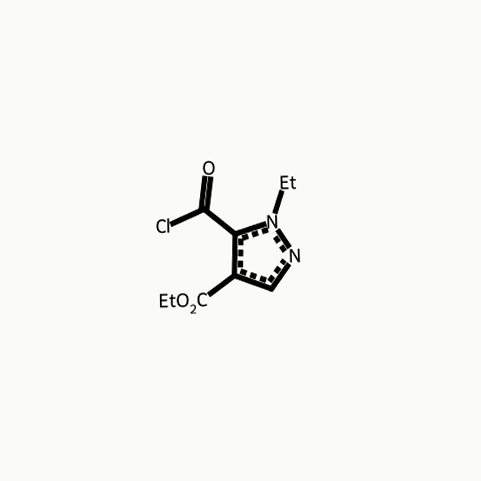 CCOC(=O)c1cnn(CC)c1C(=O)Cl